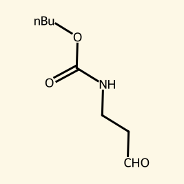 CCCCOC(=O)NCCC=O